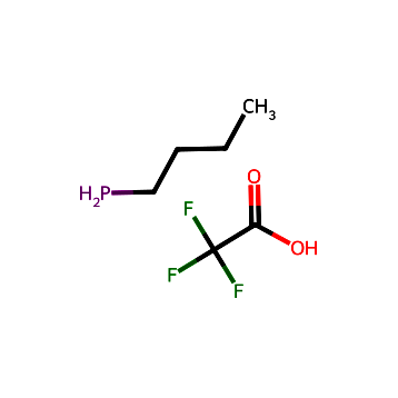 CCCCP.O=C(O)C(F)(F)F